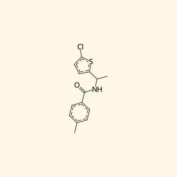 Cc1ccc(C(=O)NC(C)c2ccc(Cl)s2)cc1